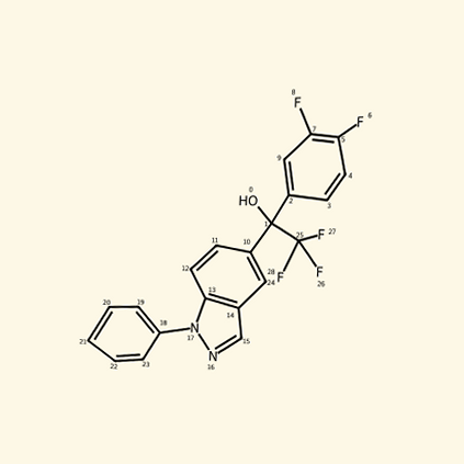 OC(c1ccc(F)c(F)c1)(c1ccc2c(cnn2-c2ccccc2)c1)C(F)(F)F